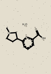 CN1CCC(c2cccc(C(=O)O)n2)C1.O